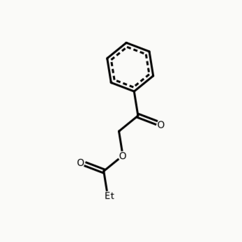 CCC(=O)OCC(=O)c1ccccc1